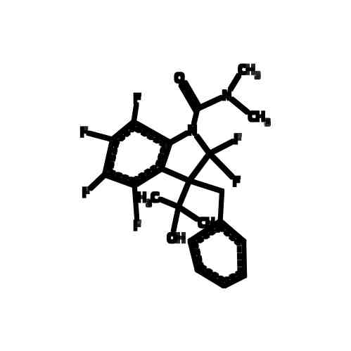 CN(C)C(=O)N1c2c(F)c(F)c(F)c(F)c2C(Cc2ccccc2)(C(C)(C)O)C1(F)F